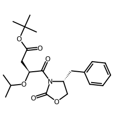 CC(C)O[C@@H](CC(=O)OC(C)(C)C)C(=O)N1C(=O)OC[C@H]1Cc1ccccc1